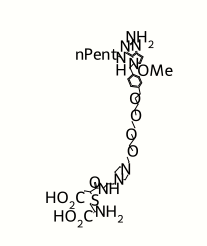 CCCCCNc1nc(N)nc2ccn(Cc3ccc(COCCOCCOCCOCCN4CCN(CCNC(=O)C(CC(=O)O)SC[C@H](N)C(=O)O)CC4)cc3OC)c12